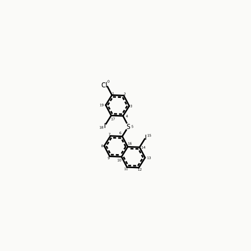 Clc1ccc(Sc2cccc3cccc(I)c23)c(I)c1